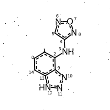 c1cc(Nc2cnon2)c2nn[nH]c2c1